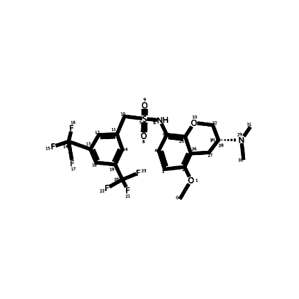 COc1ccc(NS(=O)(=O)Cc2cc(C(F)(F)F)cc(C(F)(F)F)c2)c2c1C[C@@H](N(C)C)CO2